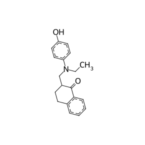 CCN(CC1CCc2ccccc2C1=O)c1ccc(O)cc1